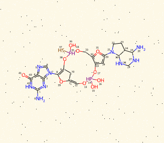 Nc1nc2c(ncn2C2=C3C/C(=C\O[PH](O)(O)Oc4cc(N5CCC6C(N)NCNC65)oc4CO[PH](O)(S)O3)O2)c(=O)[nH]1